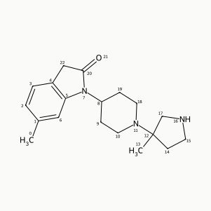 Cc1ccc2c(c1)N(C1CCN(C3(C)CCNC3)CC1)C(=O)C2